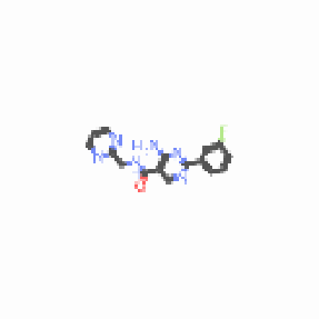 Nc1nc(-c2cccc(F)c2)ncc1C(=O)NCc1ncccn1